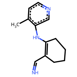 Cc1ccncc1NC1=C(C=N)CCCC1